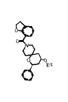 CCO[C@H]1C[C@@H](c2ccccc2)OC2(CCN(C(=O)c3cccc4c3OCC4)CC2)C1